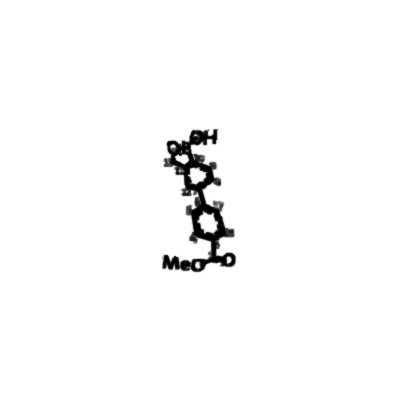 COC(=O)c1ccc(-c2ccc3c(c2)COB3O)cc1